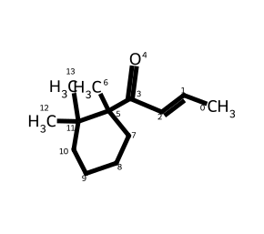 CC=CC(=O)C1(C)CCCCC1(C)C